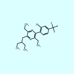 CCc1nc(-c2ccc(C(F)(F)F)cc2Cl)c(CC)nc1CC(CC)CC